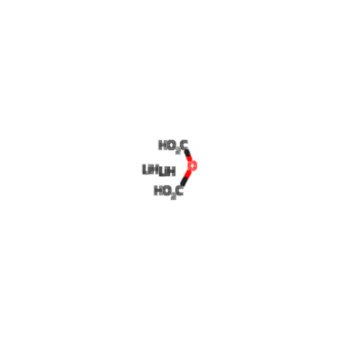 O=C(O)OC(=O)O.[LiH].[LiH]